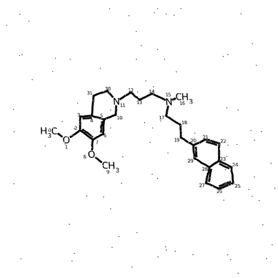 COc1cc2c(cc1OC)CN(CCCN(C)CCCc1ccc3ccccc3c1)CC2